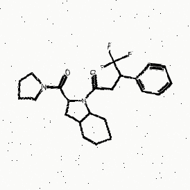 O=C(C1CC2CCCCC2N1C(=O)CC(c1ccccc1)C(F)(F)F)N1CCCC1